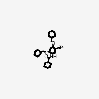 CC(C)c1cc(NC(=O)c2ccccc2)c(OCc2ccccc2)cc1OCc1ccccc1